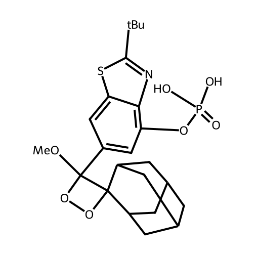 COC1(c2cc(OP(=O)(O)O)c3nc(C(C)(C)C)sc3c2)OOC12C1CC3CC(C1)CC2C3